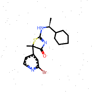 C[C@H](NC1=NC(=O)C(C)(c2ccnc(Br)c2)S1)C1CCCCC1